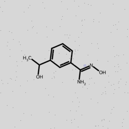 CC(O)c1cccc(/C(N)=N/O)c1